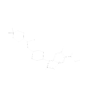 CNC(=O)c1cc2[nH]c(=O)n(C3CCN(CC(O)C4CCC(F)(F)CC4)CC3)c2cc1F